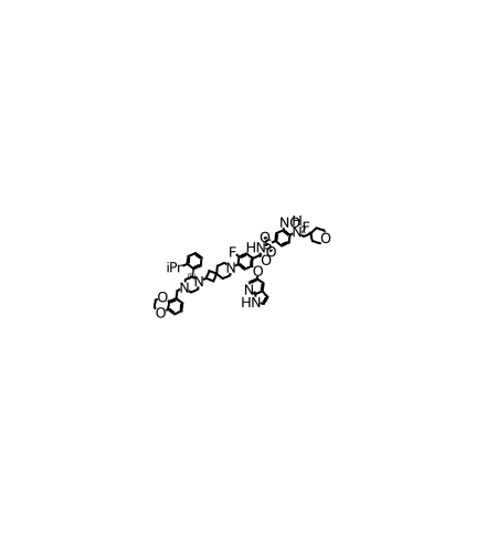 CC(C)c1ccccc1[C@@H]1CN(Cc2cccc3c2OCCO3)CCN1C1CC2(CCN(c3cc(Oc4cnc5[nH]ccc5c4)c(C(=O)NS(=O)(=O)c4ccc(NCC5(F)CCOCC5)c([N+](=O)[O-])c4)cc3F)CC2)C1